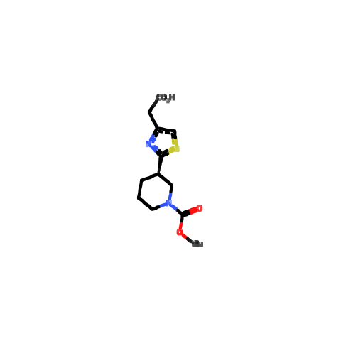 CC(C)(C)OC(=O)N1CCC[C@@H](c2nc(CC(=O)O)cs2)C1